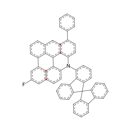 Fc1cccc(-c2cccc3cccc(-c4ccccc4N(c4ccc(-c5ccccc5)cc4)c4cccc5c4-c4ccccc4C54c5ccccc5-c5ccccc54)c23)c1